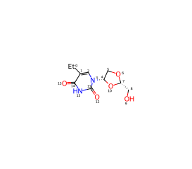 CCc1cn([C@@H]2CO[C@H](CO)O2)c(=O)[nH]c1=O